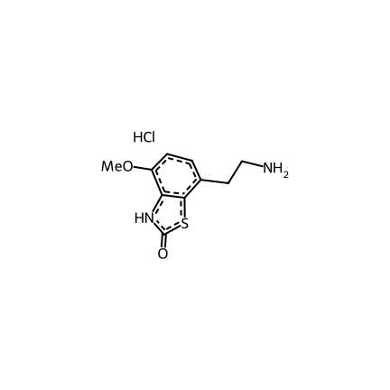 COc1ccc(CCN)c2sc(=O)[nH]c12.Cl